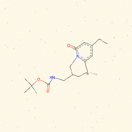 CCc1cc2n(c(=O)c1)CC(CNC(=O)OC(C)(C)C)C[C@H]2C